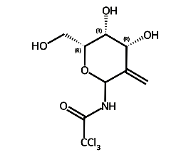 C=C1C(NC(=O)C(Cl)(Cl)Cl)O[C@H](CO)[C@H](O)[C@@H]1O